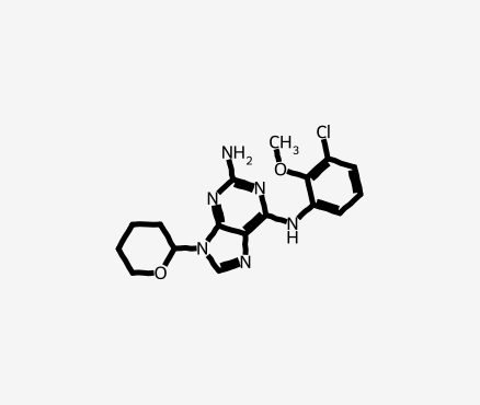 COc1c(Cl)cccc1Nc1nc(N)nc2c1ncn2C1CCCCO1